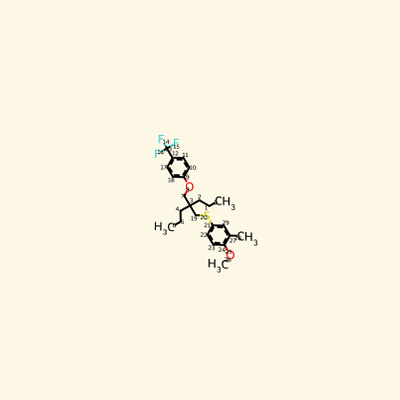 CCCC(CCC)(COc1ccc(C(F)(F)F)cc1)CSc1ccc(OC)c(C)c1